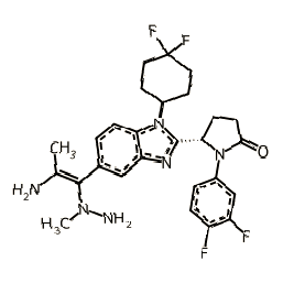 C/C(N)=C(\c1ccc2c(c1)nc([C@@H]1CCC(=O)N1c1ccc(F)c(F)c1)n2C1CCC(F)(F)CC1)N(C)N